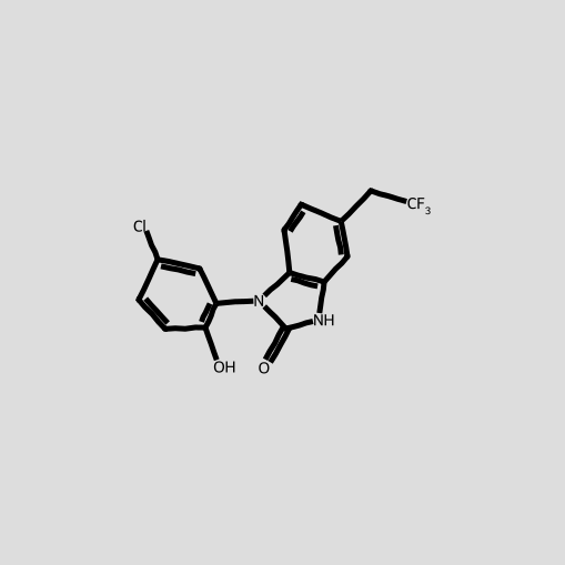 O=c1[nH]c2cc(CC(F)(F)F)ccc2n1-c1cc(Cl)ccc1O